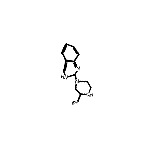 CC(C)C1CN(C2N=c3ccccc3=CN2)CCN1